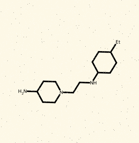 CCC1CCC(NCCN2CCC(N)CC2)CC1